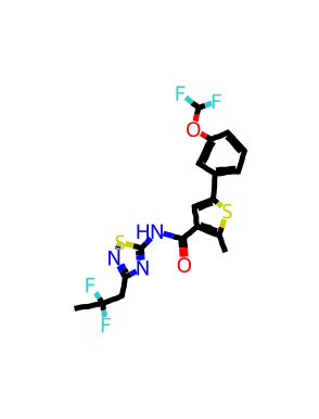 Cc1sc(-c2cccc(OC(F)F)c2)cc1C(=O)Nc1nc(CC(C)(F)F)ns1